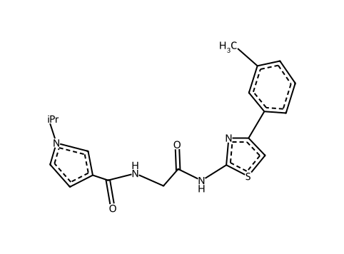 Cc1cccc(-c2csc(NC(=O)CNC(=O)c3ccn(C(C)C)c3)n2)c1